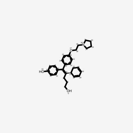 OCCC/C(=C(\c1ccc(O)cc1)c1ccc(OCCN2CCCC2)cc1)[C@@H]1C=CC=CC1